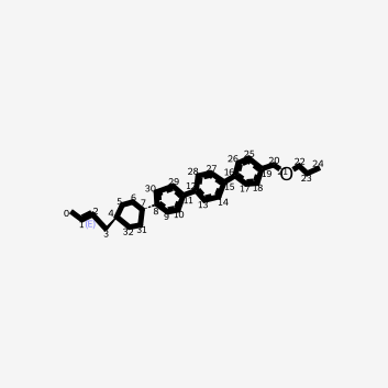 C/C=C/C[C@H]1CC[C@H](c2ccc(-c3ccc(-c4ccc(COCCC)cc4)cc3)cc2)CC1